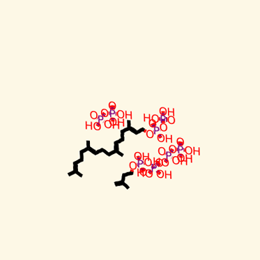 C=C(C)CCOP(=O)(O)OP(=O)(O)O.CC(C)=CCCC(C)=CCCC(C)=CCCC(C)=CCOP(=O)(O)OP(=O)(O)O.O=P(O)(O)OP(=O)(O)O.O=P(O)(O)OP(=O)(O)O